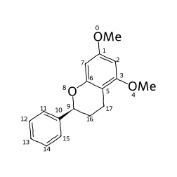 COc1cc(OC)c2c(c1)O[C@H](c1ccccc1)CC2